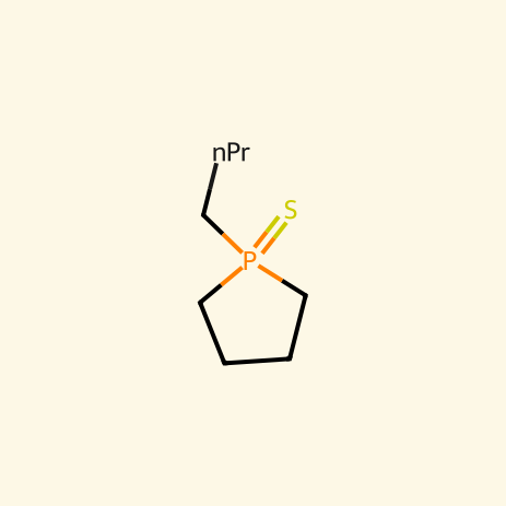 CCCCP1(=S)CCCC1